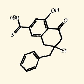 CCCCC(=S)c1cc(O)c2c(c1)CC(CC)(Cc1ccccc1)CC2=O